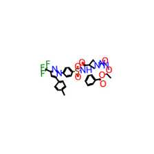 Cc1ccc(-c2cc(C(F)(F)F)nn2-c2ccc(S(=O)(=O)NC(=O)C3CN(n4on4OC(C)OC(=O)c4ccccc4)C3)cc2)cc1